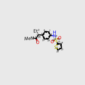 CC[C@@H](C(=O)NC)c1ccc(NS(=O)(=O)c2cccs2)cc1